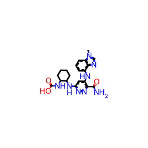 Cn1cnc2c(Nc3cc(NC4CCCCC4NC(=O)O)nnc3C(N)=O)cccc21